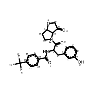 O=C(NC(Cc1cccc(O)c1)C(=O)N1CCC2OCC(=O)C21)c1ccc(C(F)(F)F)cc1